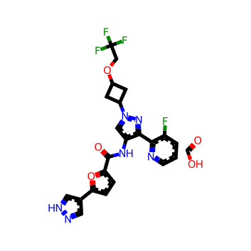 O=C(Nc1cn(C2CC(OCC(F)(F)F)C2)nc1-c1ncccc1F)c1ccc(-c2cn[nH]c2)o1.O=CO